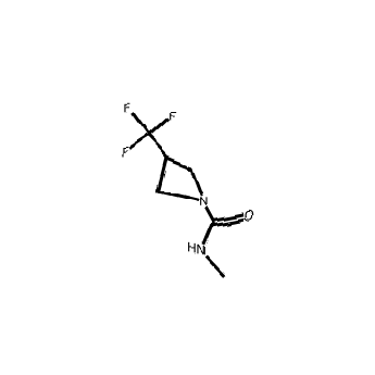 CNC(=O)N1CC(C(F)(F)F)C1